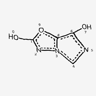 Oc1nn2cnc(O)c2o1